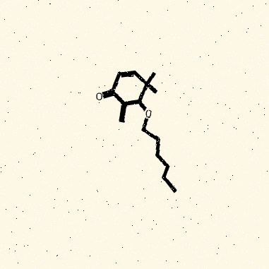 C=C1C(=O)C=CC(C)(C)C1OCCCCCC